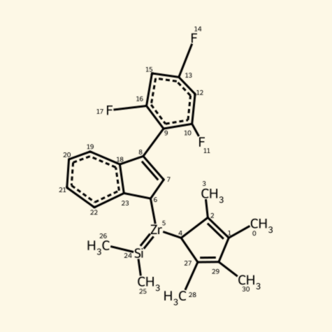 CC1=C(C)[CH]([Zr]([CH]2C=C(c3c(F)cc(F)cc3F)c3ccccc32)=[Si](C)C)C(C)=C1C